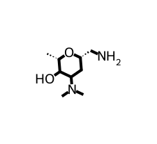 C[C@@H]1O[C@H](CN)CC(N(C)C)C1O